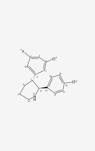 Fc1cc(Cl)cc([C@H]2CCCN[C@@H]2c2ccc(Cl)cc2)c1